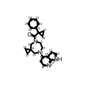 O=C(N1CCN(c2ccnc3[nH]ccc23)CC2(CC2)C1)C1(c2ccccc2)CC1